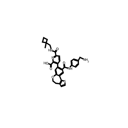 CC1(CNC(=O)c2ccc(-c3cc4c(cc3C(=O)Nc3ccc(CN)cc3)-c3sccc3CCO4)c(C(=O)O)n2)CCC1